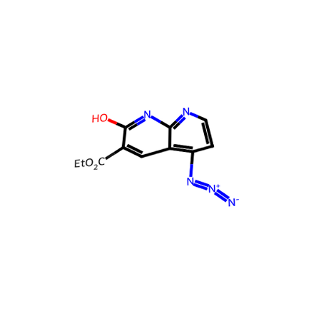 CCOC(=O)c1cc2c(N=[N+]=[N-])ccnc2nc1O